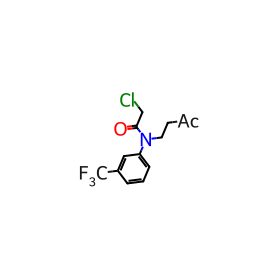 CC(=O)CCN(C(=O)CCl)c1cccc(C(F)(F)F)c1